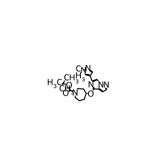 Cn1cc(-c2cn3nccc3c(O[C@H]3CCCN(C(=O)OC(C)(C)C)CC3)n2)cn1